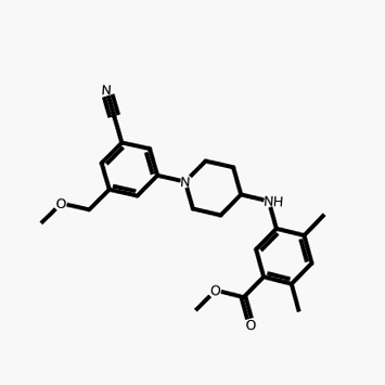 COCc1cc(C#N)cc(N2CCC(Nc3cc(C(=O)OC)c(C)cc3C)CC2)c1